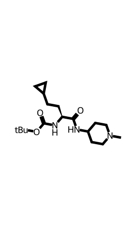 CN1CCC(NC(=O)[C@H](CCC2CC2)NC(=O)OC(C)(C)C)CC1